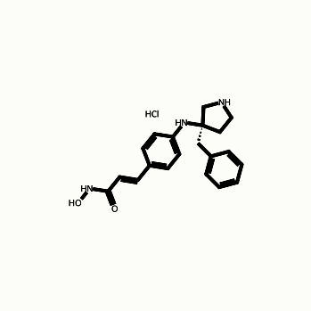 Cl.O=C(/C=C/c1ccc(N[C@]2(Cc3ccccc3)CCNC2)cc1)NO